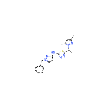 Cc1cc(C)n(C(C)c2nnc(Nc3ccn(Cc4ccccc4)n3)s2)n1